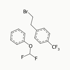 FC(F)(F)c1ccc(CCBr)cc1.FC(F)Oc1ccccc1